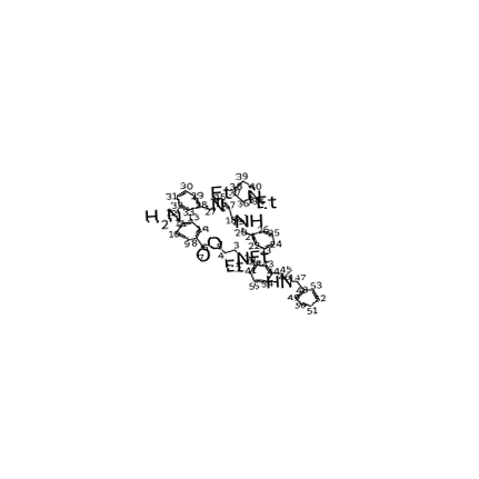 CCN(CC)CCOC(=O)c1ccc(N)cc1.CCN(CCNCc1ccccc1)Cc1ccccc1.CCN1CCCCC1.c1ccc(CNCc2ccccc2)cc1